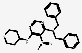 O=[N+]([O-])c1c(NC2CCOCC2)ncnc1N(Cc1ccccc1)Cc1ccccc1